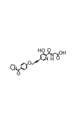 O=C(O)CNC(=O)c1ncc(C#CCOc2ccc(C(=O)N3CCCC3)cc2)cc1O